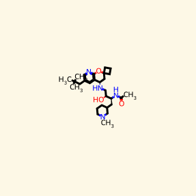 CC(=O)N[C@@H](CC1CCCN(C)C1)[C@@H](O)CN[C@H]1CC2(CCC2)Oc2ncc(CC(C)(C)C)cc21